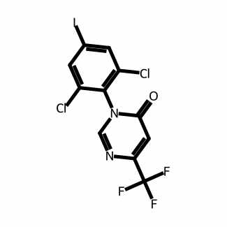 O=c1cc(C(F)(F)F)ncn1-c1c(Cl)cc(I)cc1Cl